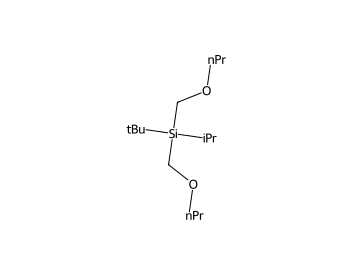 CCCOC[Si](COCCC)(C(C)C)C(C)(C)C